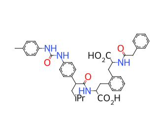 Cc1ccc(NC(=O)Nc2ccc(C(CC(C)C)C(=O)NC(Cc3ccccc3CC(NC(=O)Cc3ccccc3)C(=O)O)C(=O)O)cc2)cc1